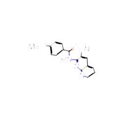 COc1ccc(C(=O)Nc2nc3ncccc3cc2C#N)cc1